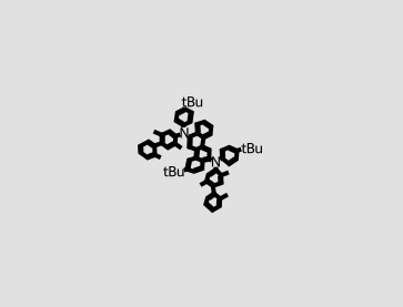 Cc1ccccc1-c1cc(C)c(N(c2ccc(C(C)(C)C)cc2)c2cc3c4cc(C(C)(C)C)ccc4c(N(c4ccc(C(C)(C)C)cc4)c4cc(C)c(-c5ccccc5C)cc4C)cc3c3ccccc23)cc1C